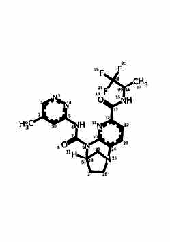 Cc1cnnc(NC(=O)N2c3nc(C(=O)N[C@H](C)C(F)(F)F)ccc3N3CC[C@H]2C3)c1